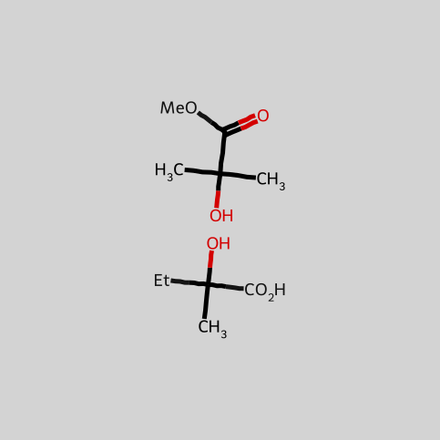 CCC(C)(O)C(=O)O.COC(=O)C(C)(C)O